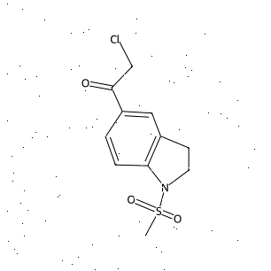 CS(=O)(=O)N1CCc2cc(C(=O)CCl)ccc21